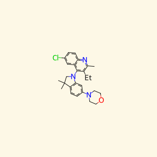 CCc1c(C)nc2ccc(Cl)cc2c1N1CC(C)(C)c2ccc(N3CCOCC3)cc21